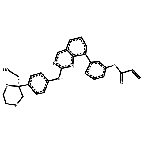 C=CC(=O)Nc1cccc(-c2cccc3cnc(Nc4ccc([C@@]5(CO)CNCCO5)cc4)nc23)c1